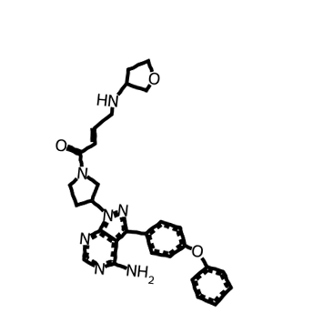 Nc1ncnc2c1c(-c1ccc(Oc3ccccc3)cc1)nn2C1CCN(C(=O)C=CCNC2CCOC2)C1